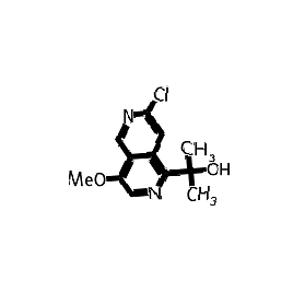 COc1cnc(C(C)(C)O)c2cc(Cl)ncc12